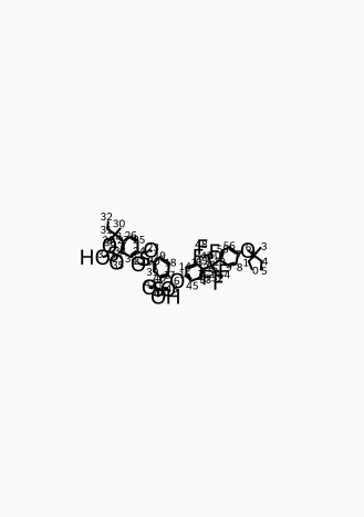 CCC(C)(CC)Oc1ccc(C(c2ccc(Oc3ccc(S(=O)(=O)c4ccc(C(C)(C)CC)c(S(=O)(=O)O)c4)cc3S(=O)(=O)O)cc2)(C(F)(F)F)C(F)(F)F)cc1